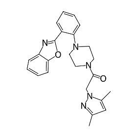 Cc1cc(C)n(CC(=O)N2CCN(c3ccccc3-c3nc4ccccc4o3)CC2)n1